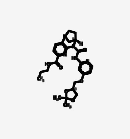 CC1(C)OC[C@H](COc2ccnc(NC(=O)N3c4nc(C(=O)NCCC(F)(F)F)ccc4N4CC[C@H]3C4)c2)O1